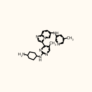 Cc1cncc(Nc2ccc3ncc(-c4nc(NC5CCC(N)CC5)ncc4C)n3c2)c1